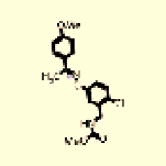 COC(=O)NCc1cc(O/N=C(\C)c2ccc(OC)cc2)ccc1Cl